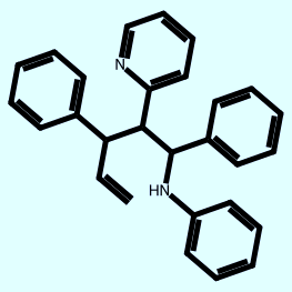 C=CC(c1ccccc1)C(c1ccccn1)C(Nc1ccccc1)c1ccccc1